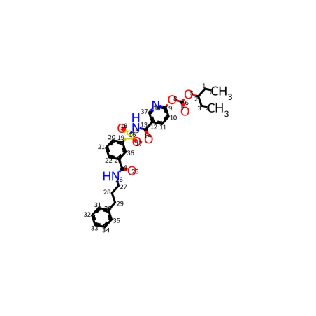 CCC(CC)OC(=O)Oc1ccc(C(=O)NS(=O)(=O)c2cccc(C(=O)NCCCc3ccccc3)c2)cn1